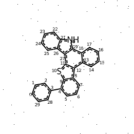 c1ccc(-c2cccc3c2sc2c3c3ccccc3c3[nH]c4ccccc4c32)cc1